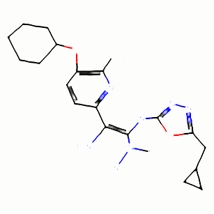 Cc1nc(/C(N)=C(\Nc2nnc(CC3CC3)o2)N(C)N)ccc1OC1CCCCC1